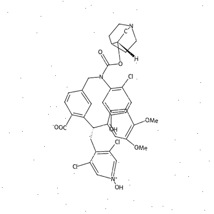 COc1ccc([C@H](Cc2c(Cl)c[n+](O)cc2Cl)c2cc(CN(C(=O)O[C@H]3CN4CCC3CC4)c3cc(O)ccc3Cl)ccc2C(=O)[O-])cc1OC